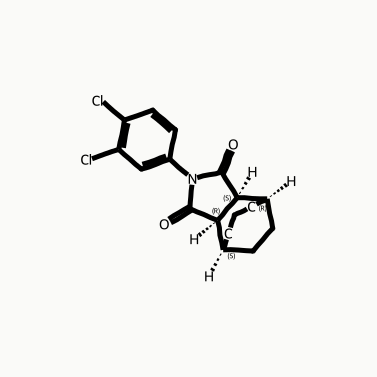 O=C1[C@@H]2[C@H]3CCC[C@H](CC3)[C@@H]2C(=O)N1c1ccc(Cl)c(Cl)c1